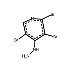 NNc1c(Br)cnc(Br)c1Br